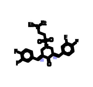 CCN(CC)CCS(=O)(=O)N1C/C(=C\c2ccc(F)c(F)c2)C(=O)/C(=C/c2ccc(F)c(F)c2)C1